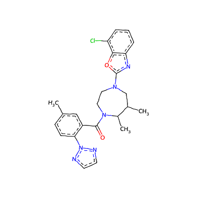 Cc1ccc(-n2nccn2)c(C(=O)N2CCN(c3nc4cccc(Cl)c4o3)CC(C)C2C)c1